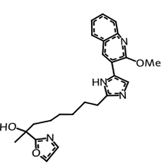 COc1nc2ccccc2cc1-c1cnc(CCCCCCC(C)(O)c2ncco2)[nH]1